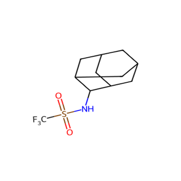 O=S(=O)(NC1C2CC3CC(C2)CC1C3)C(F)(F)F